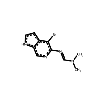 CN(C)C=Nc1ncc2[nH]ccc2c1Br